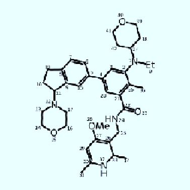 CCN(c1cc(-c2ccc3c(c2)C(N2CCOCC2)CC3)cc(C(=O)NCC2=C(OC)C=C(C)NC2C)c1C)C1CCOCC1